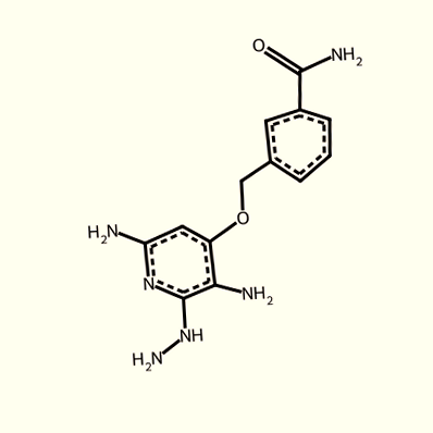 NNc1nc(N)cc(OCc2cccc(C(N)=O)c2)c1N